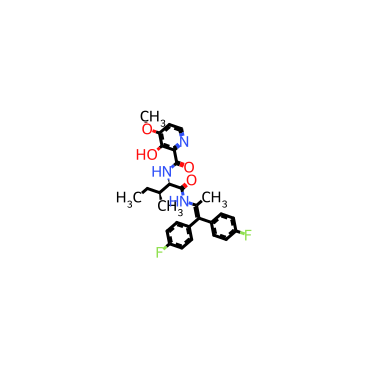 CC[C@H](C)[C@H](NC(=O)c1nccc(OC)c1O)C(=O)NC(C)=C(c1ccc(F)cc1)c1ccc(F)cc1